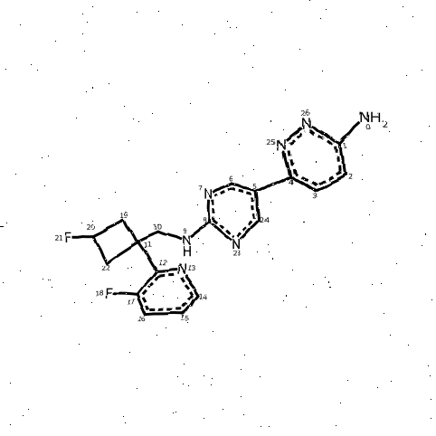 Nc1ccc(-c2cnc(NCC3(c4ncccc4F)CC(F)C3)nc2)nn1